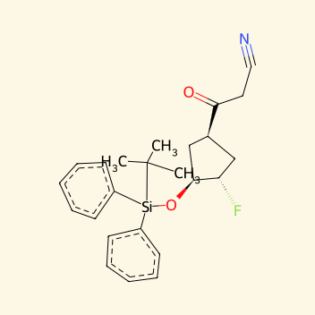 CC(C)(C)[Si](O[C@H]1C[C@@H](C(=O)CC#N)C[C@@H]1F)(c1ccccc1)c1ccccc1